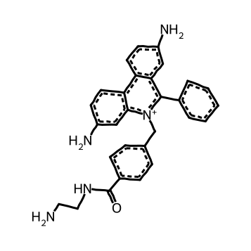 NCCNC(=O)c1ccc(C[n+]2c(-c3ccccc3)c3cc(N)ccc3c3ccc(N)cc32)cc1